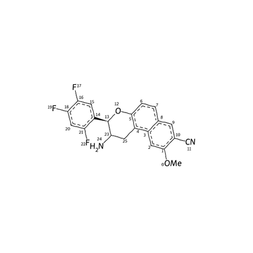 COc1cc2c3c(ccc2cc1C#N)O[C@H](c1cc(F)c(F)cc1F)C(N)C3